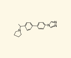 CC(c1ccc(-c2ccc(-n3cnnc3)cc2)cc1)N1CCCC1